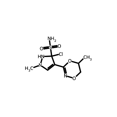 CC1CON=C(C2=CN(C)NC2(Cl)S(N)(=O)=O)O1